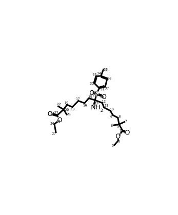 CCOC(=O)C(C)(C)CCCCCC(N)(CCCCCC(C)(C)C(=O)OCC)S(=O)(=O)c1ccc(C)cc1